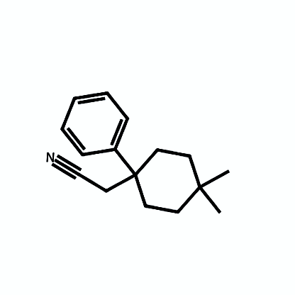 CC1(C)CCC(CC#N)(c2ccccc2)CC1